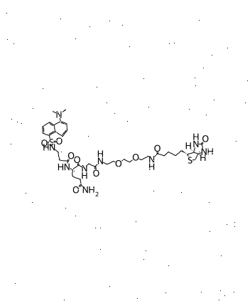 CN(C)c1cccc2c(S(=O)(=O)NCCC(=O)NC(CCC(N)=O)C(=O)NCC(=O)NCCOCCOCCNC(=O)CCCC[C@@H]3SC[C@@H]4NC(=O)N[C@@H]43)cccc12